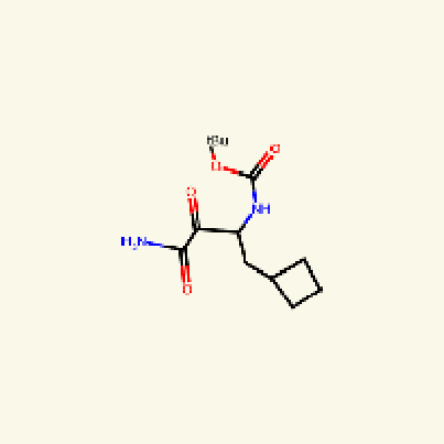 CC(C)(C)OC(=O)NC(CC1CCC1)C(=O)C(N)=O